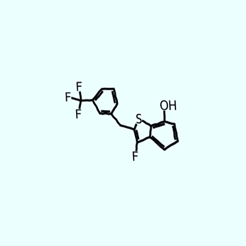 Oc1cccc2c(F)c(Cc3cccc(C(F)(F)F)c3)sc12